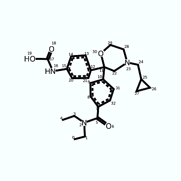 CCN(CC)C(=O)c1ccc(C2(c3ccc(NC(=O)O)cc3)CN(CC3CC3)CCO2)cc1